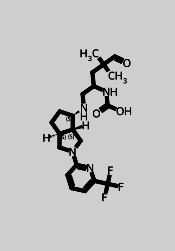 CC(C)(C=O)CC(CN[C@H]1CC[C@@H]2CN(c3cccc(C(F)(F)F)n3)C[C@H]21)NC(=O)O